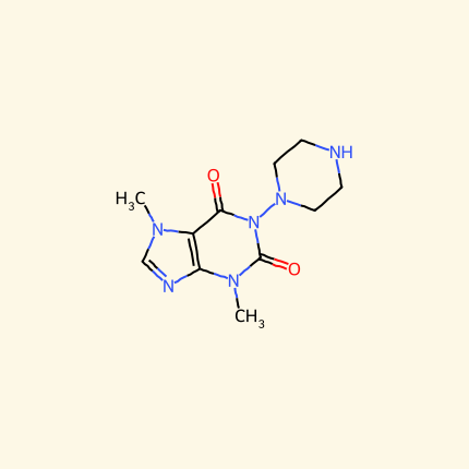 Cn1cnc2c1c(=O)n(N1CCNCC1)c(=O)n2C